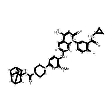 COc1nc(N2CCN(C(=O)NC34CC5CC(CC(C5)C3)C4)CC2)ccc1Nc1ncc2c(C)cc(=O)n(-c3ccc(F)c(C(=O)NC4CC4)c3)c2n1